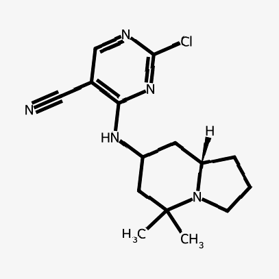 CC1(C)CC(Nc2nc(Cl)ncc2C#N)C[C@@H]2CCCN21